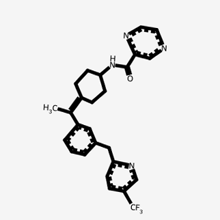 CC(=C1CCC(NC(=O)c2cnccn2)CC1)c1cccc(Cc2ccc(C(F)(F)F)cn2)c1